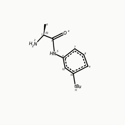 C[C@H](N)C(=O)Nc1cccc(C(C)(C)C)c1